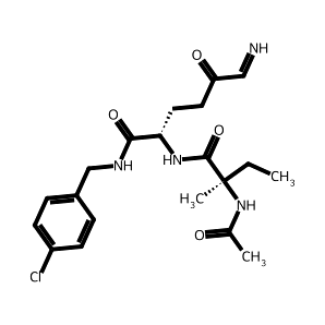 CC[C@@](C)(NC(C)=O)C(=O)N[C@@H](CCC(=O)C=N)C(=O)NCc1ccc(Cl)cc1